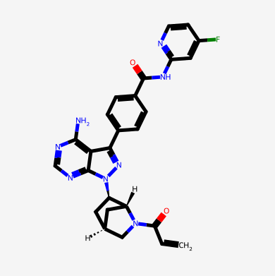 C=CC(=O)N1C[C@@H]2C[C@@H]1[C@H](n1nc(-c3ccc(C(=O)Nc4cc(F)ccn4)cc3)c3c(N)ncnc31)C2